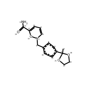 CC1(c2ccc(CN3C=CC=C(C(N)=O)O3)cc2)OCCO1